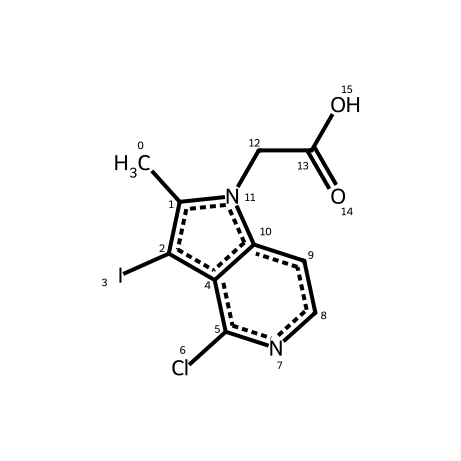 Cc1c(I)c2c(Cl)nccc2n1CC(=O)O